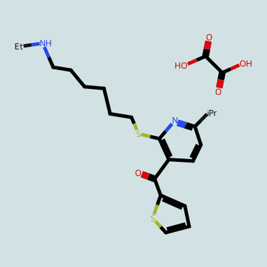 CCNCCCCCCSc1nc(C(C)C)ccc1C(=O)c1cccs1.O=C(O)C(=O)O